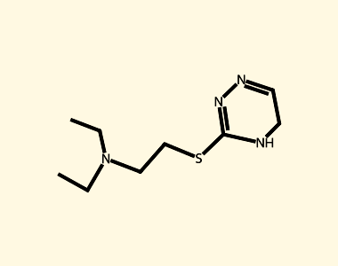 CCN(CC)CCSC1=NN=CCN1